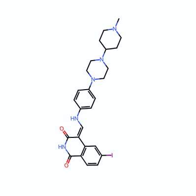 CN1CCC(N2CCN(c3ccc(N/C=C4\C(=O)NC(=O)c5ccc(I)cc54)cc3)CC2)CC1